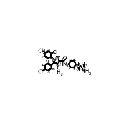 Cc1c(C(=O)N[C@H]2CC[C@H](NS(N)(=O)=O)CC2)nn(-c2ccc(Cl)cc2Cl)c1-c1ccc(Cl)cc1